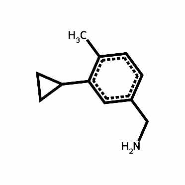 Cc1ccc(CN)cc1C1CC1